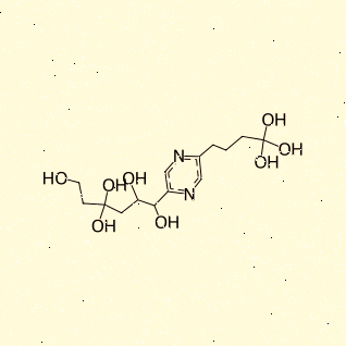 OCCC(O)(O)CC(O)C(O)c1cnc(CCCC(O)(O)O)cn1